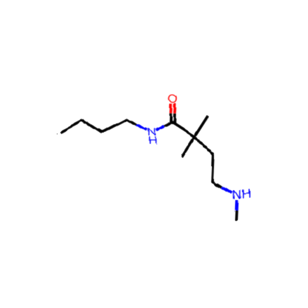 [CH2]CCCNC(=O)C(C)(C)CCNC